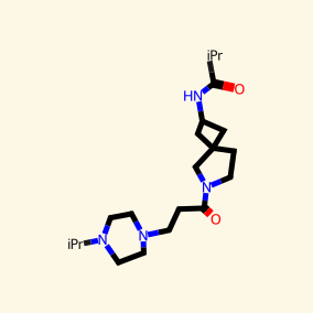 CC(C)C(=O)NC1CC2(CCN(C(=O)CCN3CCN(C(C)C)CC3)C2)C1